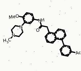 COc1ccc(NC(=O)Cc2cccc3c(-c4cccc(C(C)=O)c4)cccc23)cc1N1CCN(C)CC1